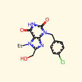 CCn1c(CO)nc2c1c(=O)[nH]c(=O)n2Cc1ccc(Cl)cc1